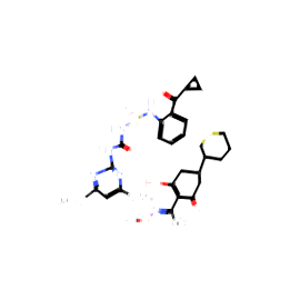 CCC/C(=N\OCC)C1=C(O)CC(C2CCCSC2)CC1=O.COc1cc(OC)nc(NC(=O)NS(=O)(=O)Nc2ccccc2C(=O)C2CC2)n1